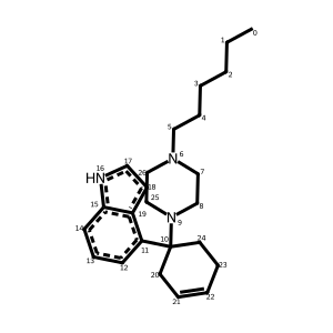 CCCCCCN1CCN(C2(c3cccc4[nH]ccc34)CC=CCC2)CC1